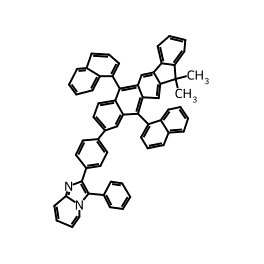 CC1(C)c2ccccc2-c2cc3c(-c4cccc5ccccc45)c4ccc(-c5ccc(-c6nc7ccccn7c6-c6ccccc6)cc5)cc4c(-c4cccc5ccccc45)c3cc21